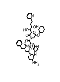 NC1CCN(C(=O)C[C@@H](Cc2ccccc2)C(=O)N[C@@H](Cc2c[nH]cn2)C(=O)N(CC(=O)OC2CCCCC2)C(=O)C[C@@H](O)[C@@H](O)CCc2ccccn2)CC1